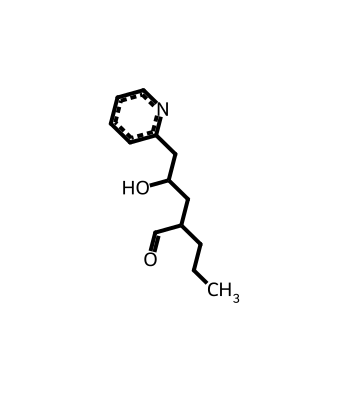 CCCC(C=O)CC(O)Cc1ccccn1